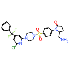 NCC1CCC(=O)N1c1ccc(S(=O)(=O)N2CCN(c3cc(C(F)(F)c4ccccc4)cc(Cl)n3)CC2)cc1